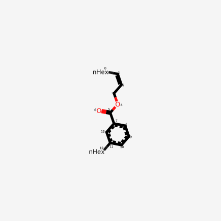 CCCCCC/C=C\COC(=O)c1cccc(CCCCCC)c1